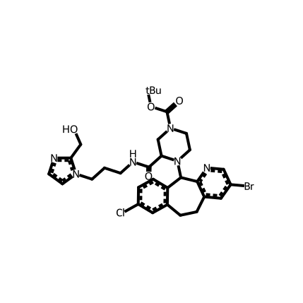 CC(C)(C)OC(=O)N1CCN(C2c3ccc(Cl)cc3CCc3cc(Br)cnc32)C(C(=O)NCCCn2ccnc2CO)C1